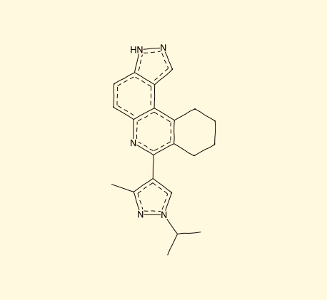 Cc1nn(C(C)C)cc1-c1nc2ccc3[nH]ncc3c2c2c1CCCC2